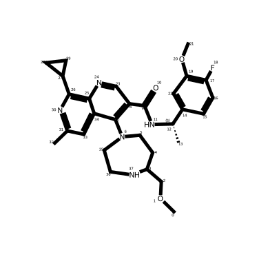 COCC1CCN(c2c(C(=O)N[C@@H](C)c3ccc(F)c(OC)c3)cnc3c(C4CC4)nc(C)cc23)CCN1